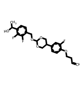 C=CCCOc1ccc(C2COC(OCc3ccc(C(C)O)c(F)c3F)OC2)cc1F